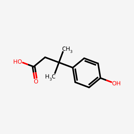 CC(C)(CC(=O)O)c1ccc(O)cc1